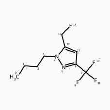 CCCCn1nc(C(F)(F)F)cc1CF